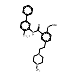 CCCCOc1ccc(CCN2CCN(C)CC2)cc1C(=O)Nc1cc(-c2ccccc2)ccc1C(=O)O